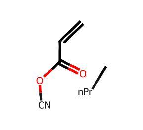 C=CC(=O)OC#N.CCCC